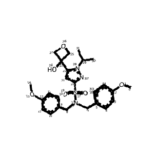 COc1ccc(CN(Cc2ccc(OC)cc2)S(=O)(=O)c2cc(C3(O)COC3)n(C(C)C)n2)cc1